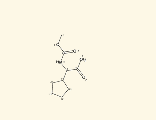 COC(=O)NC(C(=O)O)C1CCCC1